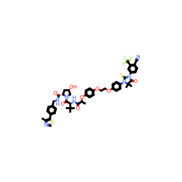 Cc1ncsc1-c1ccc(CNC(=O)[C@@H]2C[C@@H](O)CN2C(=O)[C@@H](NC(=O)C(C)Oc2ccc(OCCOc3ccc(N4C(=S)N(c5ccc(C#N)c(C(F)(F)F)c5)C(=O)C4(C)C)cc3)cc2)C(C)(C)C)cc1